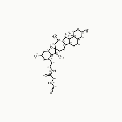 CC1CC2OC3(CCC4C(CC5C4CC=C4CC(O)CCC45C)C(C)C3)C(C)C2N(CCNC(=O)CNC=O)C1